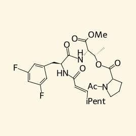 CCCC(C)/C=C/C(=O)N[C@@H](Cc1cc(F)cc(F)c1)C(=O)N[C@H](C(=O)OC)[C@H](C)OC(=O)C1CCCN1C(C)=O